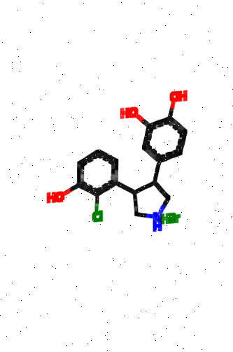 Br.Oc1ccc(C2CNCC2c2cccc(O)c2Cl)cc1O